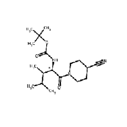 CC(C)C(C)[C@@H](NC(=O)OC(C)(C)C)C(=O)N1CCC(C#N)CC1